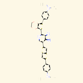 CN(C)c1ccc(-c2cc3sc(-c4cnc(-c5sc(-c6ccc(N(C)C#N)cc6)c6c5OCCO6)c5nsnc45)cc3s2)cc1